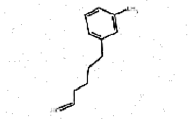 [CH]=CCCCCc1cccc(C)c1